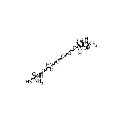 NC(CS)C(=O)NCCOCCC(=O)NCCOCCOCCOCCOC[C@@]12CO[C@@H](O1)[C@@H](NC(=O)C(F)(F)F)[C@@H](O)[C@H]2O